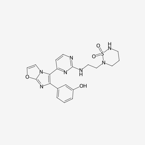 O=S1(=O)NCCCN1CCNc1nccc(-c2c(-c3cccc(O)c3)nc3occn23)n1